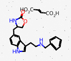 O=C(O)C=CC(=O)O.O=C1NC(Cc2ccc3[nH]cc(CCNCc4ccccc4)c3c2)CO1